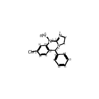 CCCN1C2=NCCN2C(c2ccccc2)c2ccc(Cl)cc21